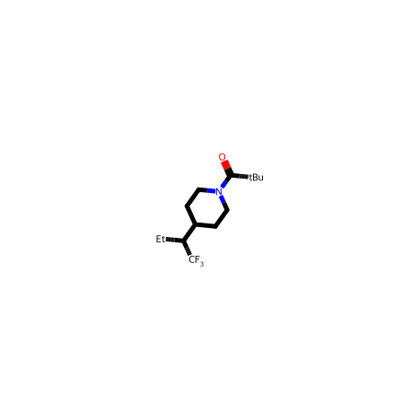 CCC(C1CCN(C(=O)C(C)(C)C)CC1)C(F)(F)F